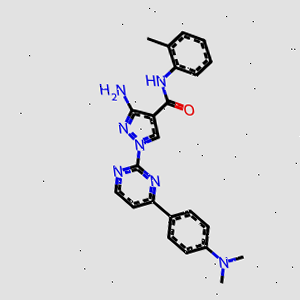 Cc1ccccc1NC(=O)c1cn(-c2nccc(-c3ccc(N(C)C)cc3)n2)nc1N